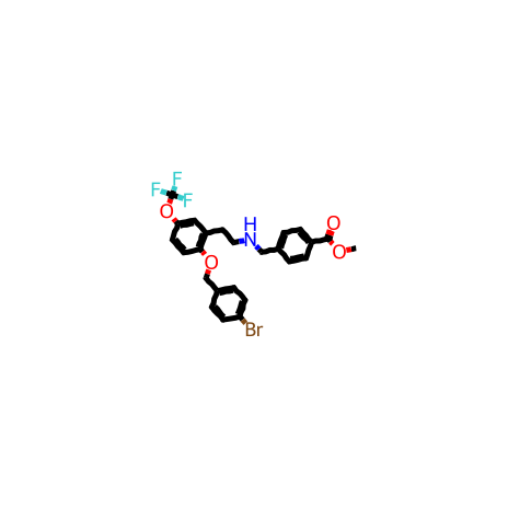 COC(=O)c1ccc(CNCCc2cc(OC(F)(F)F)ccc2OCc2ccc(Br)cc2)cc1